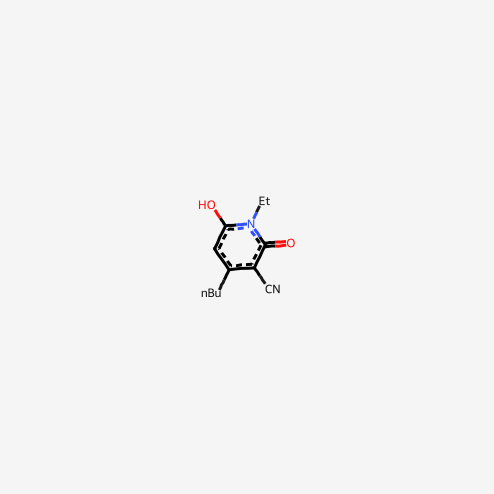 CCCCc1cc(O)n(CC)c(=O)c1C#N